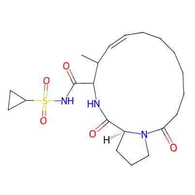 CC1/C=C\CCCCCCC(=O)N2CCC[C@H]2C(=O)NC1C(=O)NS(=O)(=O)C1CC1